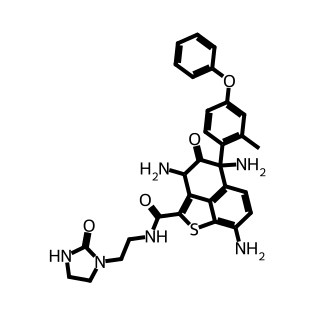 Cc1cc(Oc2ccccc2)ccc1C1(N)C(=O)C(N)c2c(C(=O)NCCN3CCNC3=O)sc3c(N)ccc1c23